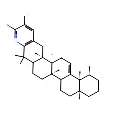 C[C@H]1[C@H](C)CC[C@]2(C(=O)O)CC[C@]3(C)C(=CC[C@@H]4[C@@]5(C)Cc6cc(C#N)c(Cl)nc6C(C)(C)[C@@H]5CC[C@]43C)[C@H]12